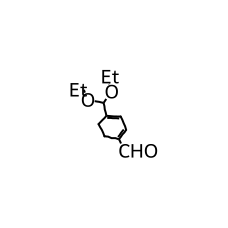 CCOC(OCC)C1=CC=C(C=O)CC1